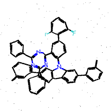 Cc1cccc(-c2ccc3c4ccc(-c5cccc(C)c5)cc4n(-c4ccc(-c5c(F)cccc5F)cc4-c4nc(-c5ccccc5)nc(-c5ccccc5)n4)c3c2)c1